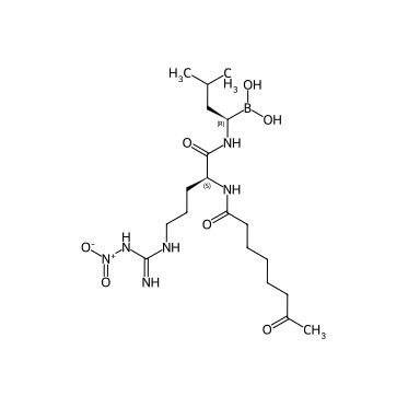 CC(=O)CCCCCC(=O)N[C@@H](CCCNC(=N)N[N+](=O)[O-])C(=O)N[C@@H](CC(C)C)B(O)O